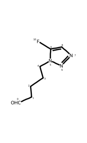 O=CCCCCn1nncc1F